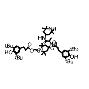 CC(NC1(OC(=O)CCc2cc(C(C)(C)C)c(O)c(C(C)(C)C)c2)CC(C)(C)N(CCOC(=O)CCc2cc(C(C)(C)C)c(O)c(C(C)(C)C)c2)C(C)(C)C1)C(=O)NC1CC(C)(C)NC(C)(C)C1